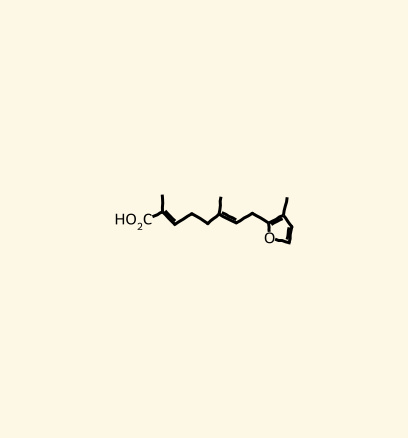 CC(=CCC/C(C)=C/Cc1occc1C)C(=O)O